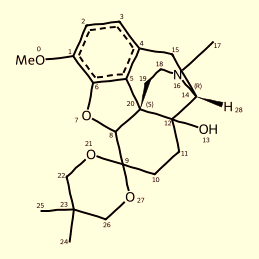 COc1ccc2c3c1OC1C4(CCC5(O)[C@@H](C2)N(C)CC[C@]315)OCC(C)(C)CO4